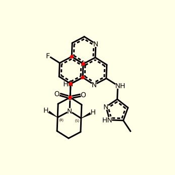 Cc1cc(Nc2cc3ncccc3c(NC3C[C@H]4CCC[C@@H](C3)N4S(=O)(=O)c3cncc(F)c3)n2)n[nH]1